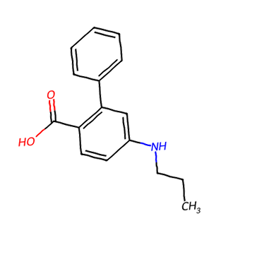 CCCNc1ccc(C(=O)O)c(-c2ccccc2)c1